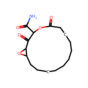 NC(=O)C1OC(=O)CCCCCCCCCCC2OC2C1=O